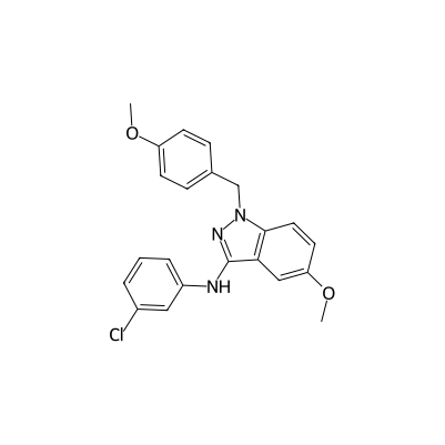 COc1ccc(Cn2nc(Nc3cccc(Cl)c3)c3cc(OC)ccc32)cc1